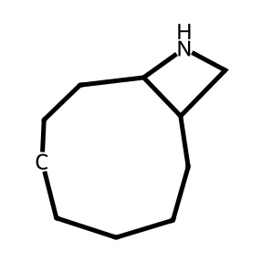 C1CCCC2CNC2CCC1